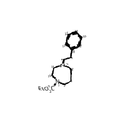 CCOC(=O)N1CCCN(CCc2ccccc2)CC1